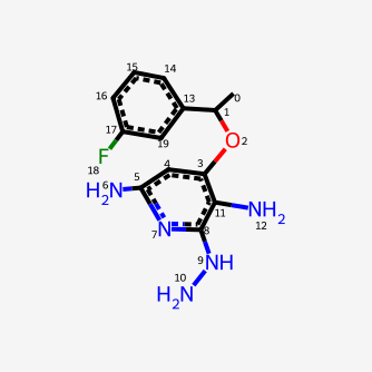 CC(Oc1cc(N)nc(NN)c1N)c1cccc(F)c1